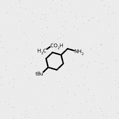 CC(=O)O.CC(C)(C)C1CCC(CN)CC1